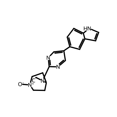 [O-][N+]12CCC(CC1)N(c1ncc(-c3ccc4[nH]ccc4c3)cn1)CC2